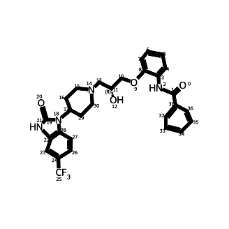 O=C(Nc1ccccc1OC[C@H](O)CN1CCC(n2c(=O)[nH]c3cc(C(F)(F)F)ccc32)CC1)c1ccccc1